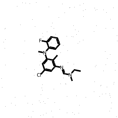 CCN(C)C=Nc1cc(Cl)cc(N(C)c2ccccc2F)c1C